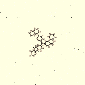 c1ccc2c(-c3ccc(N(c4ccc5c(c4)sc4ccccc45)c4ccc5ccc6ccccc6c5c4)cc3)cccc2c1